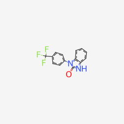 O=c1[nH]c2ccccc2n1-c1ccc(C(F)(F)F)cc1